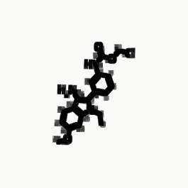 CCn1c(-c2cccc(NC(=O)OCCl)c2)c(N)c2ccc(OC)cc21